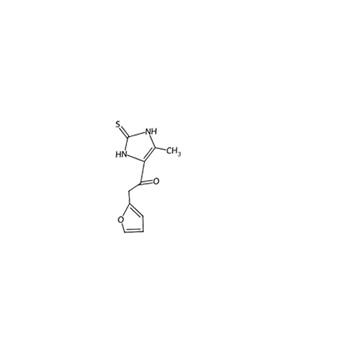 Cc1[nH]c(=S)[nH]c1C(=O)Cc1ccco1